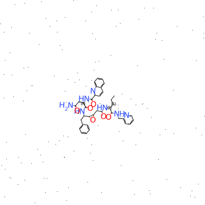 CC[C@H](C)[C@H](NC(=O)CC1OC1C(Cc1ccccc1)NC(=O)[C@@H](CC(N)=O)NC(=O)c1ccc2ccccc2n1)C(=O)NCc1ccccn1